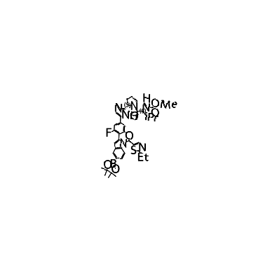 CCc1ncc(C2Oc3cc(-c4cnc([C@@H]5CCCN5C(=O)[C@@H](NC(=O)OC)C(C)C)[nH]4)cc(F)c3-c3cc4cc(B5OC(C)(C)C(C)(C)O5)ccc4n32)s1